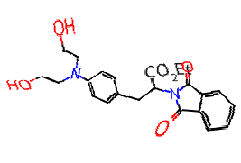 CCOC(=O)[C@H](Cc1ccc(N(CCO)CCO)cc1)N1C(=O)c2ccccc2C1=O